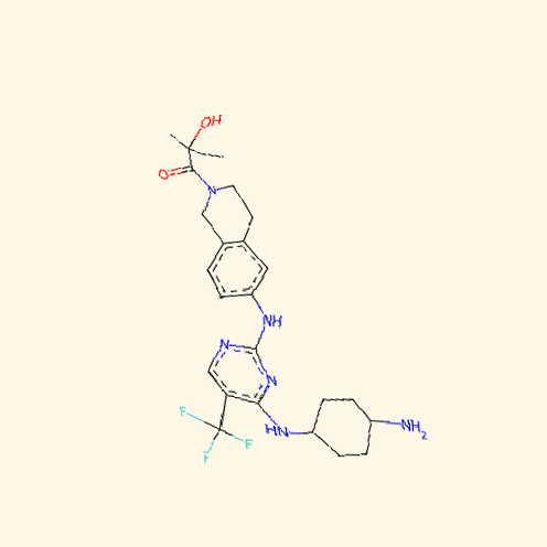 CC(C)(O)C(=O)N1CCc2cc(Nc3ncc(C(F)(F)F)c(NC4CCC(N)CC4)n3)ccc2C1